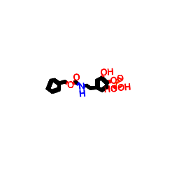 O=C(NCCc1ccc(OP(=O)(O)O)c(O)c1)OCc1ccccc1